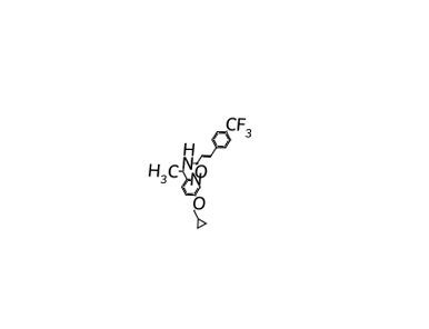 CC(NC(=O)/C=C/c1ccc(C(F)(F)F)cc1)c1ccc(OCC2CC2)cn1